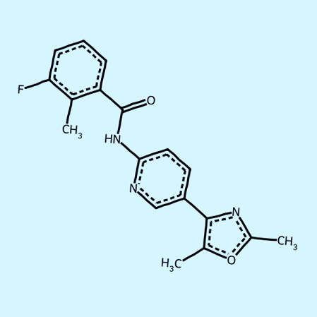 Cc1nc(-c2ccc(NC(=O)c3cccc(F)c3C)nc2)c(C)o1